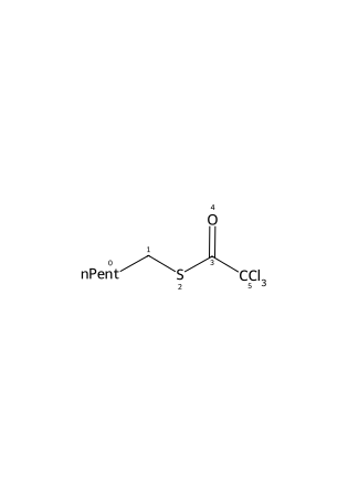 CCCCCCSC(=O)C(Cl)(Cl)Cl